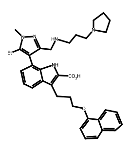 CCc1c(-c2cccc3c(CCCOc4cccc5ccccc45)c(C(=O)O)[nH]c23)c(CNCCCN2CCCC2)nn1C